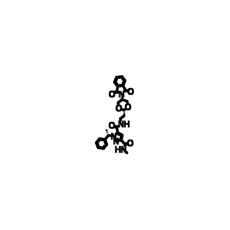 CNC(=O)c1cc(C(=O)NCC[C@H]2OC[C@H](N3C(=O)c4ccccc4C3=O)CO2)n([C@@H](C)c2ccccc2)n1